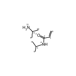 C=CC(=O)NC(C)C.CC(C)N